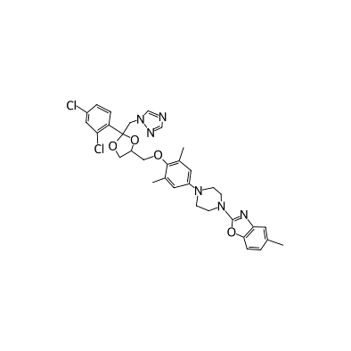 Cc1ccc2oc(N3CCN(c4cc(C)c(OCC5COC(Cn6cncn6)(c6ccc(Cl)cc6Cl)O5)c(C)c4)CC3)nc2c1